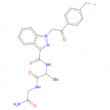 CC(C)(C)C(NC(=O)c1nn(CC(=O)c2ccc(CF)cc2)c2ccccc12)C(=O)NCC(N)=O